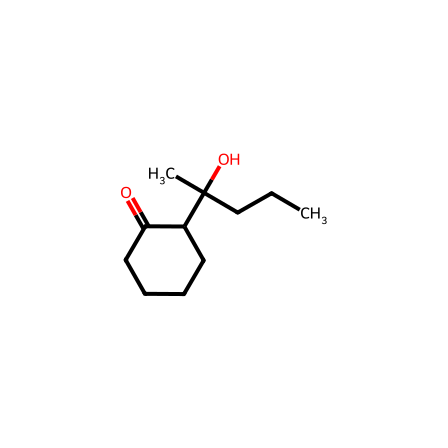 CCCC(C)(O)C1CCCCC1=O